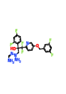 N/C=N\N(N)CC(O)(c1ccc(F)cc1F)C(F)(F)c1ccc(OCc2cc(F)cc(F)c2)cn1